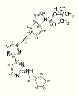 CC(C)(C)OC(=O)n1ncc2cc(C#Cc3ccnc(-c4ccnc(NCC5CCCC5)n4)n3)ccc21